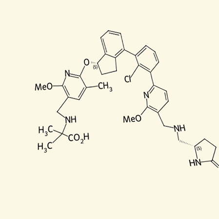 COc1nc(-c2cccc(-c3cccc4c3CC[C@@H]4Oc3nc(OC)c(CNC(C)(C)C(=O)O)cc3C)c2Cl)ccc1CNC[C@@H]1CCC(=O)N1